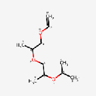 [CH2]C(C)OC(C)COC(C)COC=C